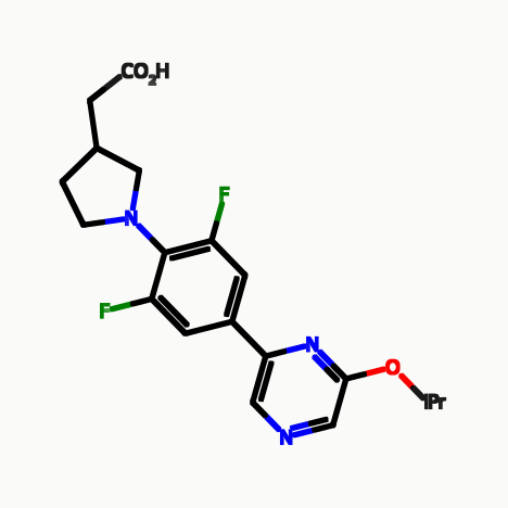 CC(C)Oc1cncc(-c2cc(F)c(N3CCC(CC(=O)O)C3)c(F)c2)n1